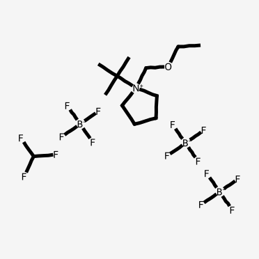 CCOC[N+]1(C(C)(C)C)CCCC1.FC(F)F.F[B-](F)(F)F.F[B-](F)(F)F.F[B-](F)(F)F